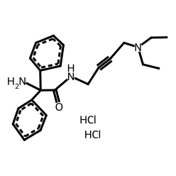 CCN(CC)CC#CCNC(=O)C(N)(c1ccccc1)c1ccccc1.Cl.Cl